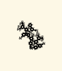 N#Cc1ccc2c(c1)c1ccccc1n2-c1cc(-c2cc(C(F)(F)F)cc(C(F)(F)F)c2)cc(-n2c3ccc(C#N)cc3c3cc(-c4cc5c6ccc(C#N)cc6n(-c6cc(-c7cc(C(F)(F)F)cc(C(F)(F)F)c7)cc(-n7c8cc(C#N)ccc8c8ccc(C#N)cc87)c6C#N)c5cc4C#N)ccc32)c1C#N